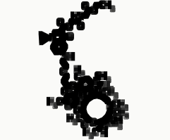 CCOC(=O)CNC(=O)COC(=O)c1cn(C2CC2)c2ccc(NCCOCCC(=O)O[C@H]3[C@H](C)O[C@@H](O[C@H]4[C@H](C)[C@@H](O[C@@H]5O[C@H](C)C[C@H](N(C)C)[C@H]5O)[C@](C)(O)C[C@@H](C)CN(C)[C@H](C)[C@@H](O)[C@](C)(O)[C@@H](CC)OC(=O)[C@@H]4C)C[C@@]3(C)OC)cc2c1=O